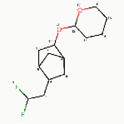 FC(F)CC1CC2CC1CC2OC1CCCCO1